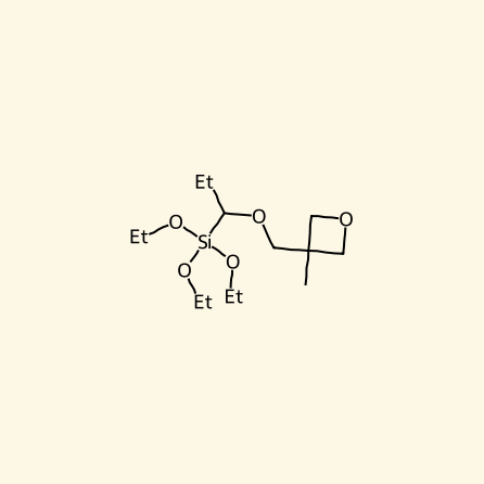 CCO[Si](OCC)(OCC)C(CC)OCC1(C)COC1